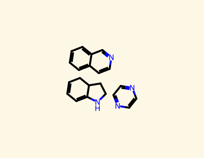 C1=CCC2CCNC2=C1.c1ccc2cnccc2c1.c1cnccn1